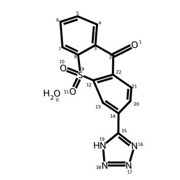 O.O=C1c2ccccc2S(=O)(=O)c2cc(-c3nnn[nH]3)ccc21